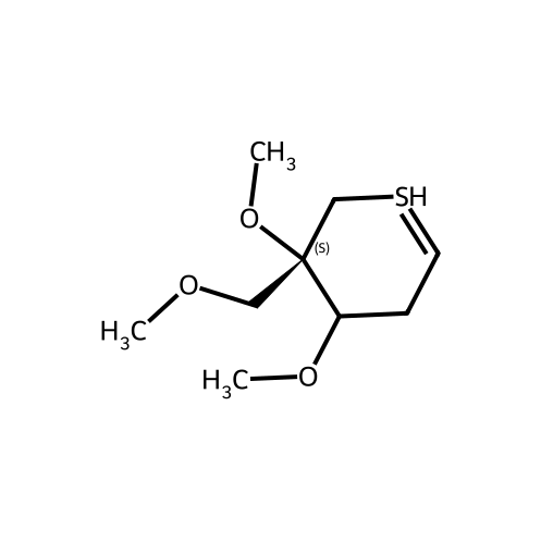 COC[C@@]1(OC)C[SH]=CCC1OC